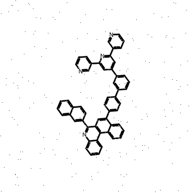 c1cc(-c2ccc(-c3cc4c(-c5ccc6ccccc6c5)nc5ccccc5c4c4ccccc34)cc2)cc(-c2cc(-c3cccnc3)nc(-c3cccnc3)c2)c1